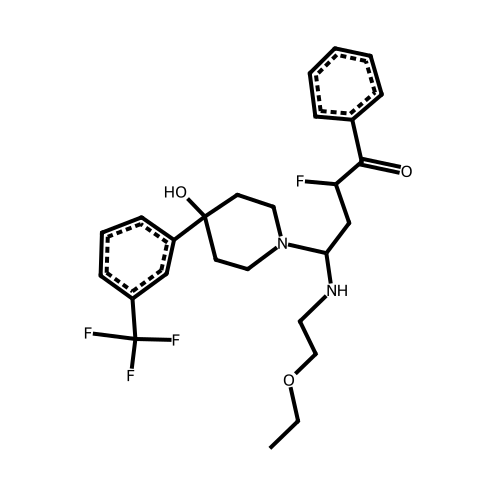 CCOCCNC(CC(F)C(=O)c1ccccc1)N1CCC(O)(c2cccc(C(F)(F)F)c2)CC1